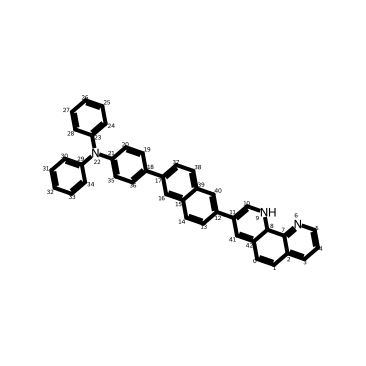 C1=Cc2cccnc2C2NC=C(c3ccc4cc(-c5ccc(N(c6ccccc6)c6ccccc6)cc5)ccc4c3)C=C12